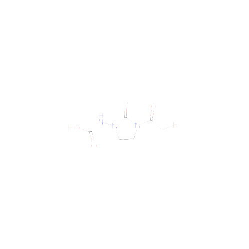 O=C(O)NN1CCN(C(=O)CBr)C1=O